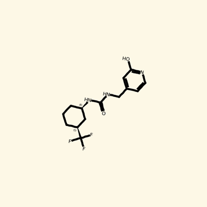 O=C(NCc1ccnc(O)c1)N[C@@H]1CCC[C@H](C(F)(F)F)C1